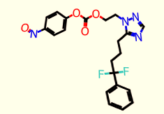 O=Nc1ccc(OC(=O)OCCn2ncnc2CCCC(F)(F)c2ccccc2)cc1